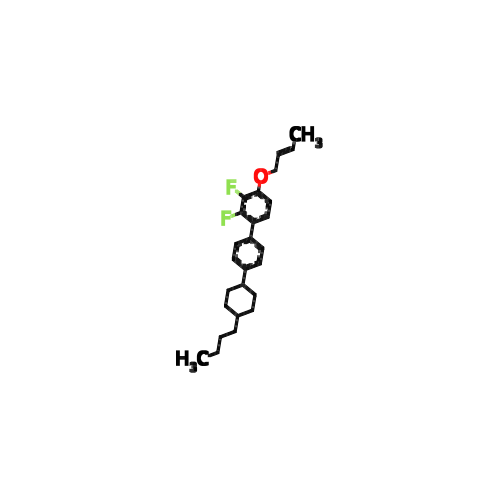 C/C=C/COc1ccc(-c2ccc(C3CCC(CCCC)CC3)cc2)c(F)c1F